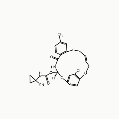 N#CC1(NC(=O)O[C@H]2Cc3ccc(c(Cl)c3)OC/C=C/COc3cc(C(F)(F)F)ccc3C(=O)N2)CC1